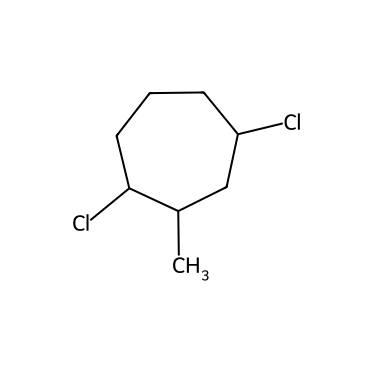 CC1CC(Cl)CCCC1Cl